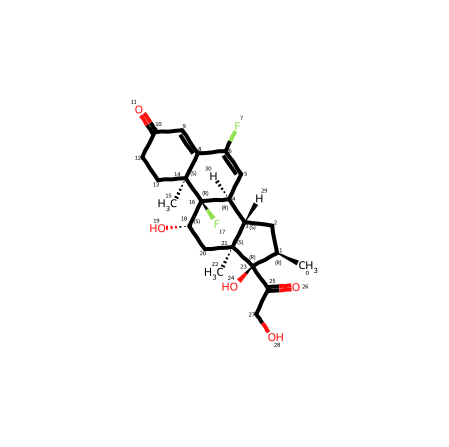 C[C@@H]1C[C@H]2[C@@H]3C=C(F)C4=CC(=O)CC[C@]4(C)[C@@]3(F)[C@@H](O)C[C@]2(C)[C@@]1(O)C(=O)CO